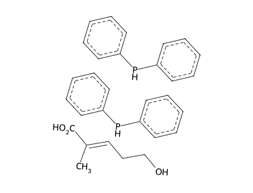 CC(=CCCO)C(=O)O.c1ccc(Pc2ccccc2)cc1.c1ccc(Pc2ccccc2)cc1